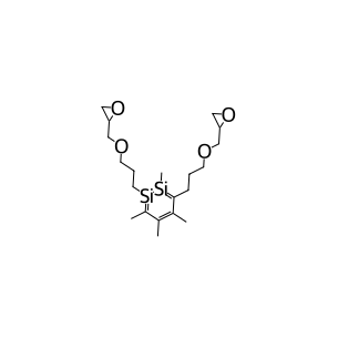 Cc1c(C)c(C)[si](CCCOCC2CO2)[si](C)c1CCCOCC1CO1